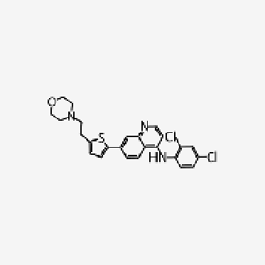 Clc1ccc(Nc2ccnc3cc(-c4ccc(CCN5CCOCC5)s4)ccc23)c(Cl)c1